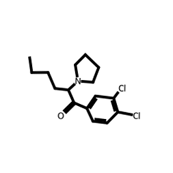 CCCCC(C(=O)c1ccc(Cl)c(Cl)c1)N1CCCC1